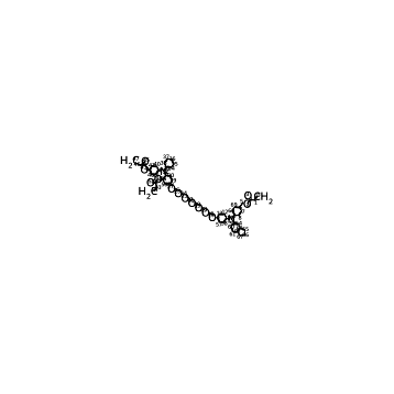 C=CC(=O)OCc1ccc(N(c2ccc(OCOCOCOCOCOCOc3ccc(N(c4ccccc4)c4ccc(OC(=O)C=C)cc4OC(=O)C=C)cc3)cc2)c2ccc3c(c2)CCC3)cc1